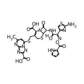 Cc1cc(SCC2=C(C(=O)O)N3C(=O)[C@@H](NC(=O)/C(=N\OC(=O)c4ccc[nH]4)c4csc(N)n4)[C@H]3SC2)n2nc(C(=O)O)nc2n1